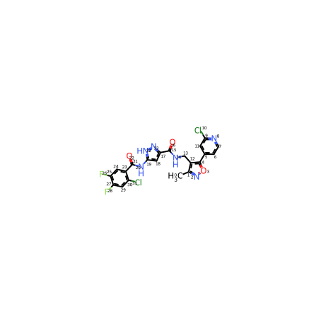 Cc1noc(-c2ccnc(Cl)c2)c1CNC(=O)c1cc(NC(=O)c2cc(F)c(F)cc2Cl)[nH]n1